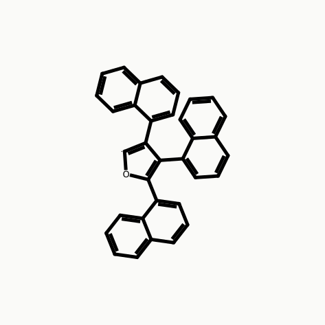 [c]1oc(-c2cccc3ccccc23)c(-c2cccc3ccccc23)c1-c1cccc2ccccc12